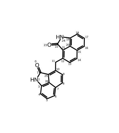 O=C1Nc2cccc3ccc(Cc4ccc5cccc6c5c4C(=O)N6)c1c23